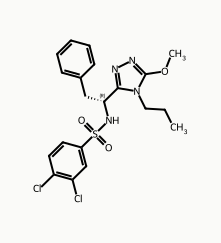 CCCn1c(OC)nnc1[C@@H](Cc1ccccc1)NS(=O)(=O)c1ccc(Cl)c(Cl)c1